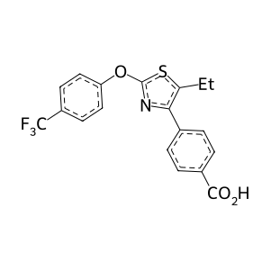 CCc1sc(Oc2ccc(C(F)(F)F)cc2)nc1-c1ccc(C(=O)O)cc1